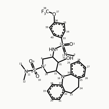 CN=S(=O)(NC1CN(S(=O)(=O)N(C)C)CC(N2c3ccccc3CCc3ccccc32)C1O)c1ccc(OC(F)(F)F)cc1